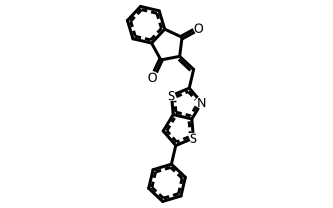 O=C1C(=Cc2nc3sc(-c4ccccc4)cc3s2)C(=O)c2ccccc21